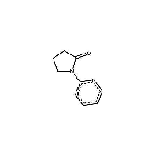 O=C1CCCN1c1ccccn1